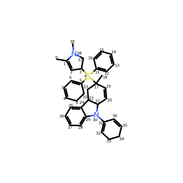 CC1=CC(S(C2=CC=CCC2)(c2ccccc2)C2(C)C=CC3C(C2)c2ccccc2N3C2=CCCC=C2)CN1C